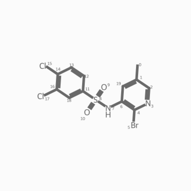 Cc1cnc(Br)c(NS(=O)(=O)c2ccc(Cl)c(Cl)c2)c1